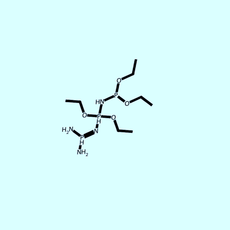 CCOP(N[PH](N=[PH](N)N)(OCC)OCC)OCC